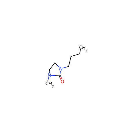 CCCCN1CCN(C)C1=O